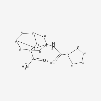 NC(=O)C12CC3CC(CC(NC(=O)C4CCCC4)(C3)C1)C2